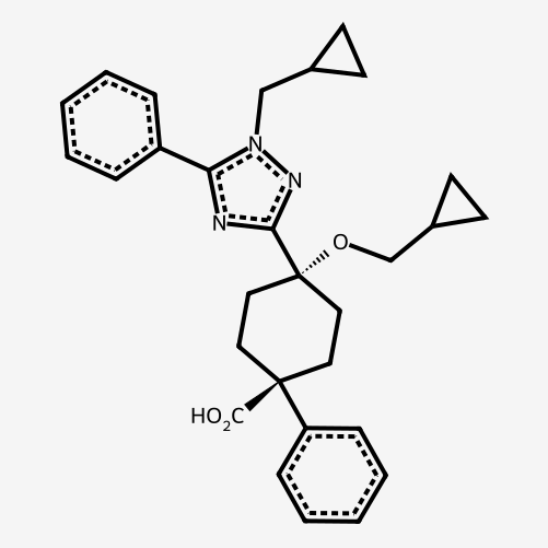 O=C(O)[C@]1(c2ccccc2)CC[C@](OCC2CC2)(c2nc(-c3ccccc3)n(CC3CC3)n2)CC1